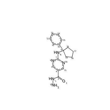 NNC(=O)c1cnc(NC2(c3ccccc3)CCCC2)nc1